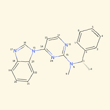 C[C@@H](c1ccccc1)N(C)c1nccc(-n2cnc3ccccc32)n1